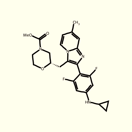 COC(=O)N1CCO[C@@H](Cc2c(-c3c(F)cc(NC4CC4)cc3F)nc3cc(C)ccn23)C1